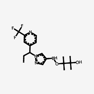 CCC(c1ccnc(C(F)(F)F)c1)n1cc(BOC(C)(C)C(C)(C)O)cn1